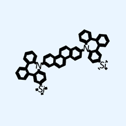 C[Si](C)(C)c1ccc2c(c1)-c1ccccc1-c1ccccc1N2c1ccc2c(ccc3c4ccc(N5c6ccccc6-c6ccccc6-c6cc([Si](C)(C)C)ccc65)cc4ccc23)c1